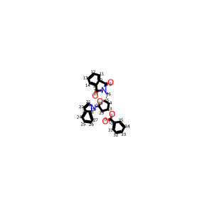 O=C(O[C@@H]1C[C@@H](CN2C(=O)c3ccccc3C2=O)O[C@H](n2ccc3ccccc32)C1)c1ccccc1